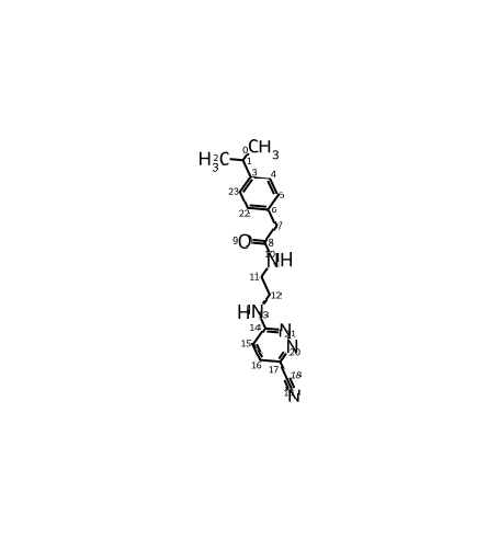 CC(C)c1ccc(CC(=O)NCCNc2ccc(C#N)nn2)cc1